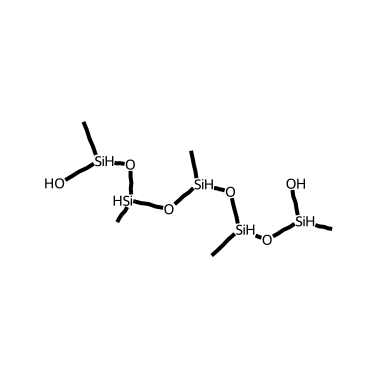 C[SiH](O)O[SiH](C)O[SiH](C)O[SiH](C)O[SiH](C)O